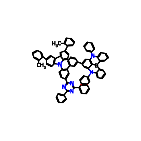 Cc1ccccc1-c1ccc2c(c1)c1cc(-c3ccccc3C)ccc1n2-c1ccc(-c2nc(-c3ccccc3)nc(-c3ccccc3)n2)cc1-c1cccc(-c2cc3c4c(c2)N(c2ccccc2)c2ccccc2B4c2ccccc2N3c2ccccc2)c1